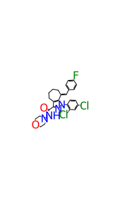 O=C(NN1CCOCC1)c1nn(-c2ccc(Cl)cc2Cl)c2c1CCCC/C2=C\c1ccc(F)cc1